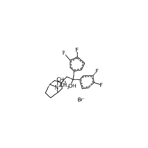 C[N+]1(C)C2CCC1CC(CC(O)(c1ccc(F)c(F)c1)c1ccc(F)c(F)c1)C2.[Br-]